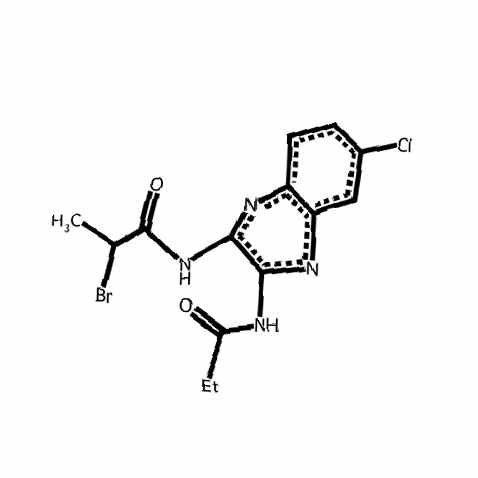 CCC(=O)Nc1nc2cc(Cl)ccc2nc1NC(=O)C(C)Br